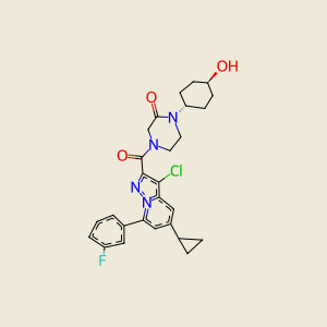 O=C(c1nn2c(-c3cccc(F)c3)cc(C3CC3)cc2c1Cl)N1CCN([C@H]2CC[C@H](O)CC2)C(=O)C1